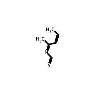 C/C=C\C(C)=N/C=S